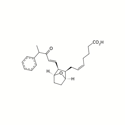 CC(C(=O)/C=C/[C@H]1[C@@H](C/C=C\CCCC(=O)O)[C@H]2CC[C@@H]1O2)c1ccccc1